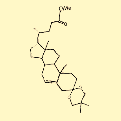 COC(=O)CC[C@@H](C)[C@H]1CCC2C3CC=C4CC5(CCC4(C)C3CCC21C)OCC(C)(C)CO5